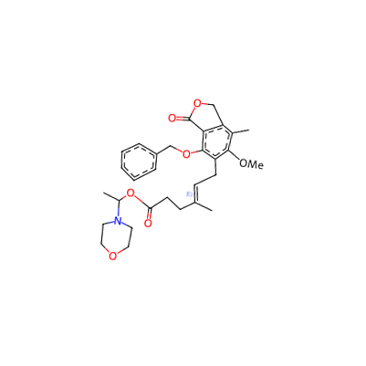 COc1c(C)c2c(c(OCc3ccccc3)c1C/C=C(\C)CCC(=O)OC(C)N1CCOCC1)C(=O)OC2